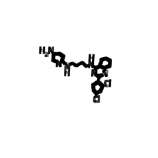 Nc1ccc(NCCCCNc2nc(-c3ccc(Cl)cc3Cl)nc3ccccc23)nc1